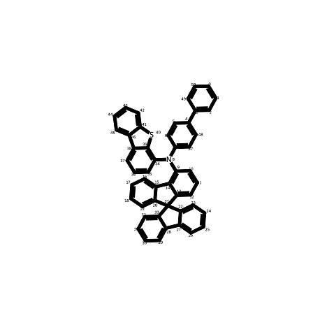 c1ccc(-c2ccc(N(c3cccc4c3-c3ccccc3C43c4ccccc4-c4ccccc43)c3cccc4c3sc3ccccc34)cc2)cc1